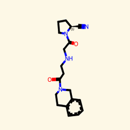 N#C[C@@H]1CCCN1C(=O)CNCCC(=O)N1CCc2ccccc2C1